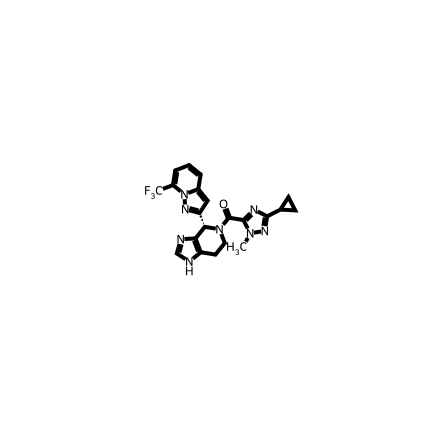 Cn1nc(C2CC2)nc1C(=O)N1CCc2[nH]cnc2[C@@H]1c1cc2cccc(C(F)(F)F)n2n1